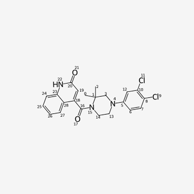 CC1(C)CN(c2ccc(Cl)c(Cl)c2)CCN1C(=O)c1cc(=O)[nH]c2ccccc12